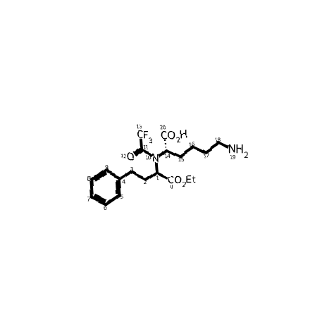 CCOC(=O)C(CCc1ccccc1)N(C(=O)C(F)(F)F)[C@@H](CCCCN)C(=O)O